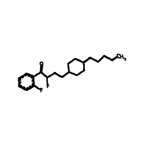 CCCCCC1CCC(CCC(F)C(=O)c2ccccc2F)CC1